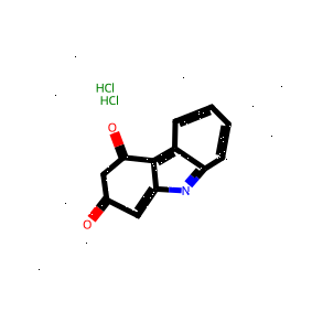 Cl.Cl.O=C1C=C2N=c3ccccc3=C2C(=O)C1